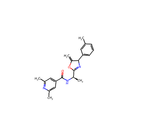 C=C1OC([C@@H](C)NC(=O)c2cc(C)nc(C)c2)=NC1c1cccc(C)c1